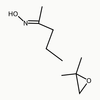 CC1(C)CO1.CCCC(C)=NO